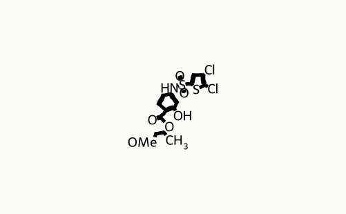 COCC(C)OC(=O)c1ccc(NS(=O)(=O)c2cc(Cl)c(Cl)s2)cc1O